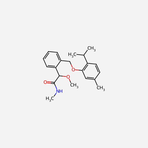 CNC(=O)C(OC)c1ccccc1COc1cc(C)ccc1C(C)C